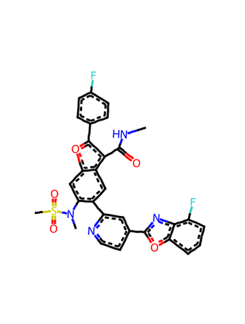 CNC(=O)c1c(-c2ccc(F)cc2)oc2cc(N(C)S(C)(=O)=O)c(-c3cc(-c4nc5c(F)cccc5o4)ccn3)cc12